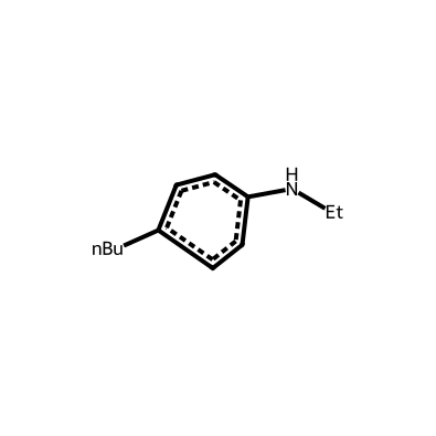 CCCCc1ccc(NCC)cc1